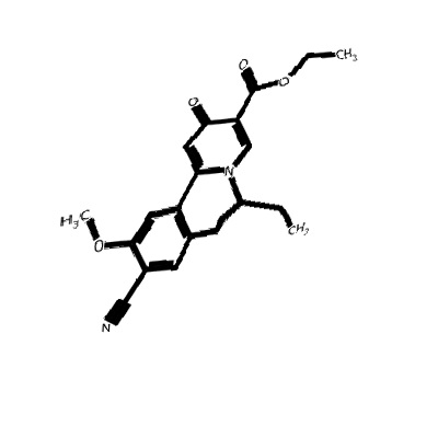 CCOC(=O)c1cn2c(cc1=O)-c1cc(OC)c(C#N)cc1CC2CC